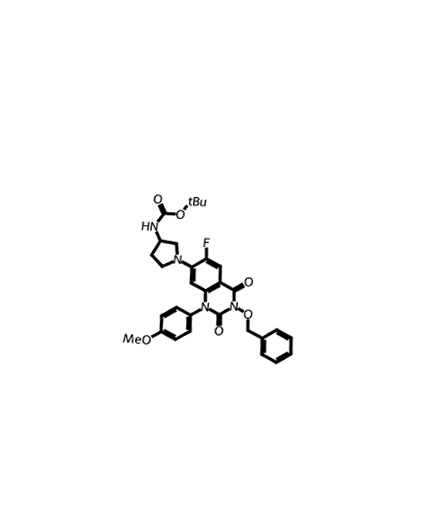 COc1ccc(-n2c(=O)n(OCc3ccccc3)c(=O)c3cc(F)c(N4CCC(NC(=O)OC(C)(C)C)C4)cc32)cc1